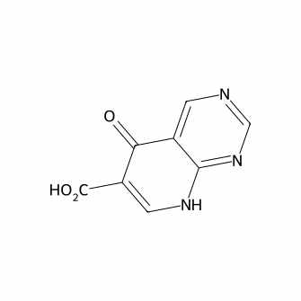 O=C(O)c1c[nH]c2ncncc2c1=O